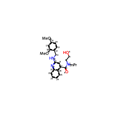 CCCN(CCO)C(=O)c1cc(NCc2ccc(OC)cc2OC)nc2ccccc12